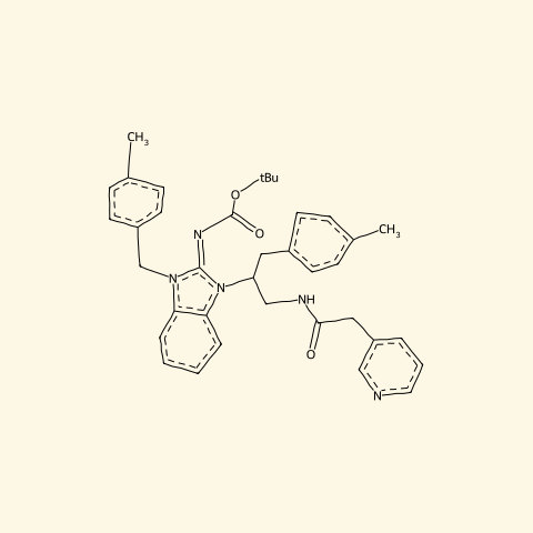 Cc1ccc(CC(CNC(=O)Cc2cccnc2)n2c(=NC(=O)OC(C)(C)C)n(Cc3ccc(C)cc3)c3ccccc32)cc1